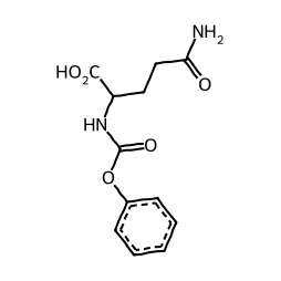 NC(=O)CCC(NC(=O)Oc1ccccc1)C(=O)O